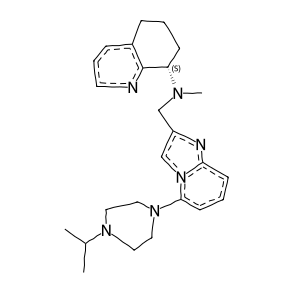 CC(C)N1CCN(c2cccc3nc(CN(C)[C@H]4CCCc5cccnc54)cn23)CC1